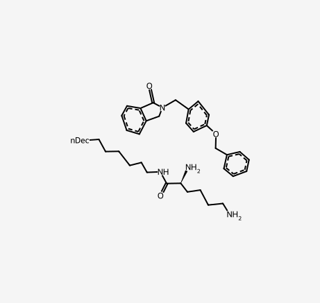 CCCCCCCCCCCCCCCCNC(=O)[C@@H](N)CCCCN.O=C1c2ccccc2CN1Cc1ccc(OCc2ccccc2)cc1